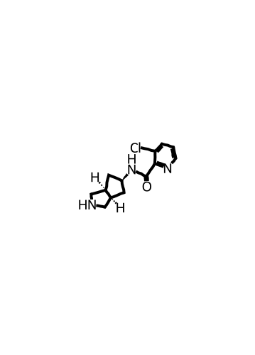 O=C(N[C@H]1C[C@H]2CNC[C@H]2C1)c1ncccc1Cl